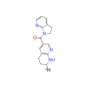 [2H]C1CCc2cc(C(=O)N3CCc4cccnc43)cnc2N1